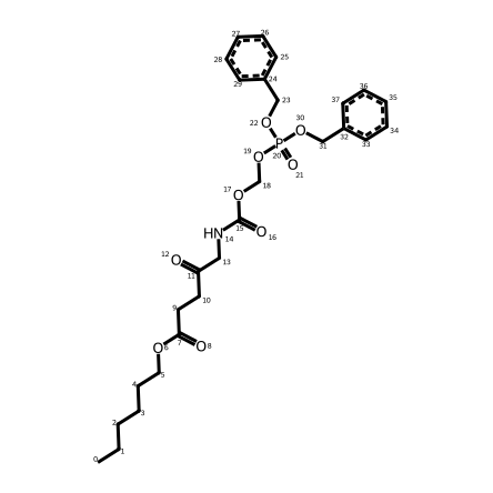 CCCCCCOC(=O)CCC(=O)CNC(=O)OCOP(=O)(OCc1ccccc1)OCc1ccccc1